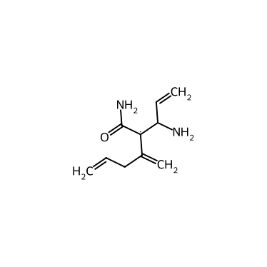 C=CCC(=C)[C](C(N)=O)C(N)C=C